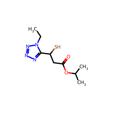 CCn1nnnc1C(S)CC(=O)OC(C)C